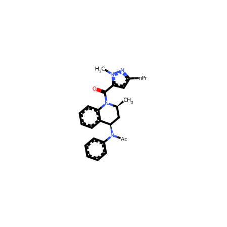 CCCc1cc(C(=O)N2c3ccccc3[C@H](N(C(C)=O)c3ccccc3)C[C@@H]2C)n(C)n1